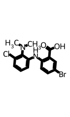 CN(C)c1c(Cl)cccc1Nc1ccc(Br)cc1C(=O)O